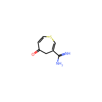 N=C(N)C1=CSC=CC(=O)C1